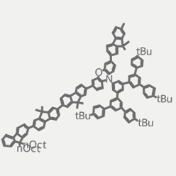 CCCCCCCCC1(CCCCCCCC)c2ccccc2-c2ccc(-c3ccc4c(c3)C(C)(C)c3cc(-c5ccc6c(c5)C(C)(C)c5cc(-c7ccc8c(c7)Oc7cc(-c9ccc%10c(c9)C(C)(C)c9cc(C)ccc9-%10)ccc7N8c7cc(-c8cc(-c9ccc(C(C)(C)C)cc9)cc(-c9ccc(C(C)(C)C)cc9)c8)cc(-c8cc(-c9ccc(C(C)(C)C)cc9)cc(-c9ccc(C(C)(C)C)cc9)c8)c7)ccc5-6)ccc3-4)cc21